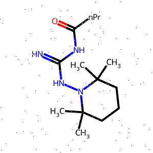 CCCC(=O)NC(=N)NN1C(C)(C)CCCC1(C)C